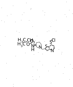 CC(C)(C)OC(=O)N[C@@H]1CCCN(Cc2cc3nccc(SCl)c3s2)C1